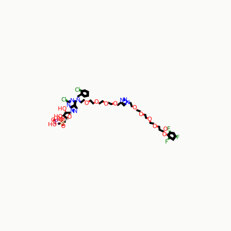 O=C(CCOCCOCCOCCOCCn1cc(COCCOCCOCCOCCN(Cc2ccccc2Cl)c2nc(Cl)nc3c2cnn3[C@@H]2O[C@H](CS(=O)(=O)CP(=O)(O)O)[C@@H](O)[C@H]2O)nn1)Oc1c(F)cc(F)cc1F